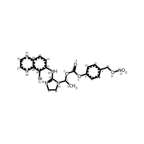 CC(OC(=O)Oc1ccc(CO[N+](=O)[O-])cc1)N1CCN=C1Nc1ccc2nccnc2c1Br